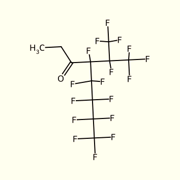 CCC(=O)C(F)(C(F)(F)C(F)(F)C(F)(F)C(F)(F)F)C(F)(C(F)(F)F)C(F)(F)F